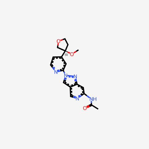 CO[C@]1(c2ccnc(-n3cc4cnc(NC(C)=O)cc4n3)c2)CCOC1